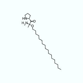 CCCCCCCCCCCCCCCCCCOC(C)(N)C(=O)[C@@H]1CCCN1